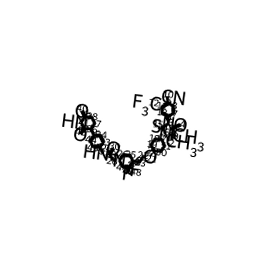 CC1(C)C(=O)N(c2ccc(C#N)c(C(F)(F)F)c2)C(=S)N1[C@H]1CC[C@H](OCCC2CCN(CC(=O)Nc3ccc(C4CCC(=O)NC4=O)cc3)CC2(F)F)CC1